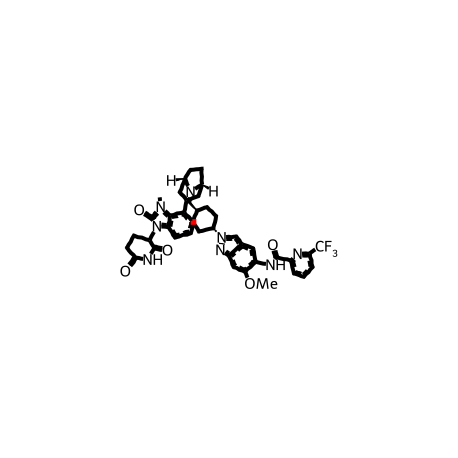 COc1cc2nn([C@H]3CC[C@H](CN4[C@@H]5CC[C@H]4CC(c4cccc6c4n(C)c(=O)n6C4CCC(=O)NC4=O)C5)CC3)cc2cc1NC(=O)c1cccc(C(F)(F)F)n1